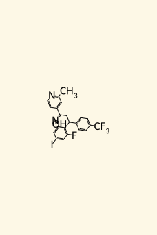 Cc1cc(/C(CC(c2ccc(C(F)(F)F)cc2)c2ccc(I)cc2F)=N/O)ccn1